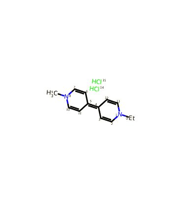 CCN1C=CC(=C2C=CN(C)C=C2)C=C1.Cl.Cl